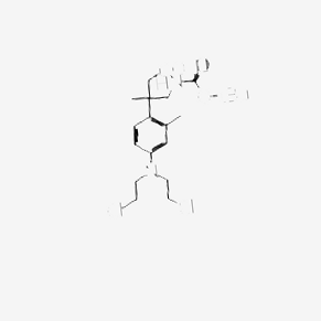 Cc1cc(N(CCCl)CCCl)ccc1C(C)(CNC(=O)OC(C)(C)C)CC(=O)O